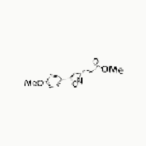 COC(=O)CCc1cc(-c2ccc(OC)cc2)on1